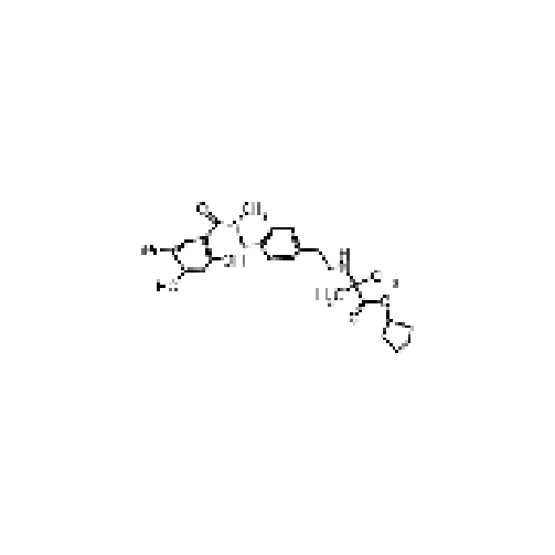 CC(C)c1cc(C(=O)N(C)Cc2ccc(CCNC(C)(C)C(=O)OC3CCCC3)cc2)c(O)cc1O